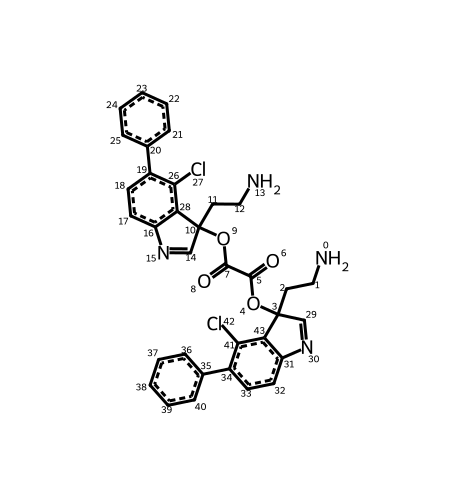 NCCC1(OC(=O)C(=O)OC2(CCN)C=Nc3ccc(-c4ccccc4)c(Cl)c32)C=Nc2ccc(-c3ccccc3)c(Cl)c21